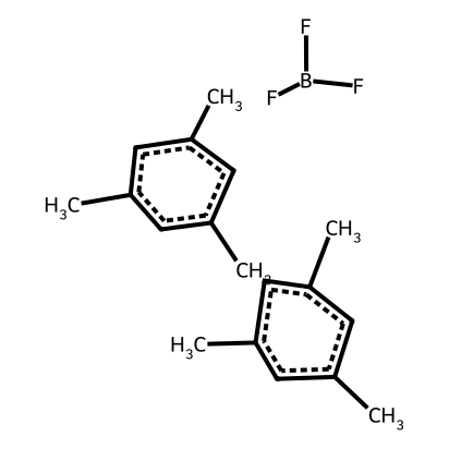 Cc1cc(C)cc(C)c1.Cc1cc(C)cc(C)c1.FB(F)F